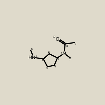 CNC1CCC(N(C)C(C)=O)C1